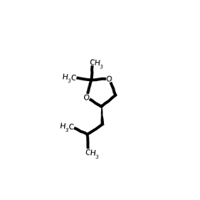 CC(C)C[C@@H]1COC(C)(C)O1